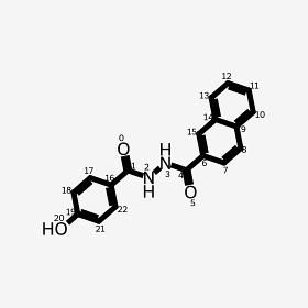 O=C(NNC(=O)c1ccc2ccccc2c1)c1ccc(O)cc1